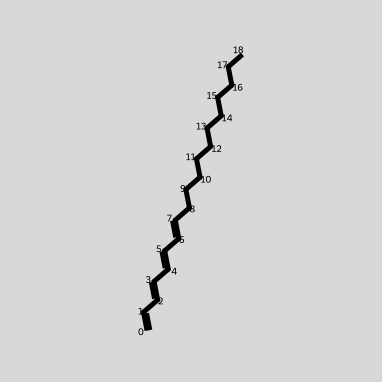 C=CC=CC=CC=CCCCCCCCCCCC